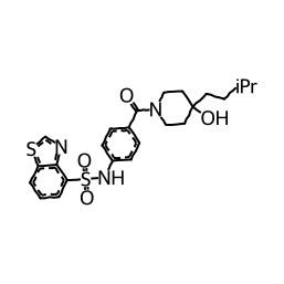 CC(C)CCC1(O)CCN(C(=O)c2ccc(NS(=O)(=O)c3cccc4scnc34)cc2)CC1